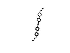 CCCCc1ccc(-c2ccc(C#CC3=CCC(C4CCC(CCCC)CC4)CC3)cc2)cc1